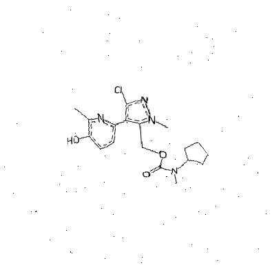 Cc1nc(-c2c(Cl)nn(C)c2COC(=O)N(C)C2CCCC2)ccc1O